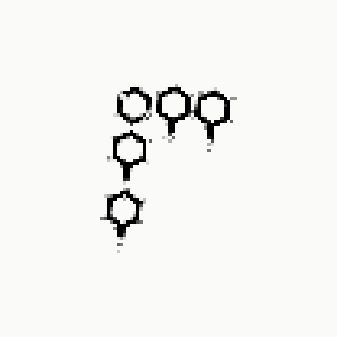 C1COCCO1.O=C1CCCCC1.O=C1CCCCC1.O=C1CCCCC1.O=C1CCCCC1